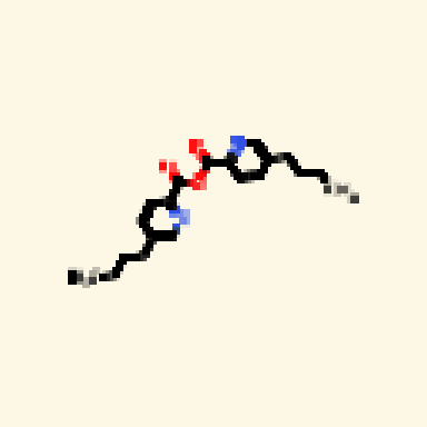 CCCCc1ccc(C(=O)OC(=O)c2ccc(CCCC)cn2)nc1